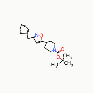 CC(C)(C)OC(=O)N1CCC(c2cc(Cc3ccccc3)no2)CC1